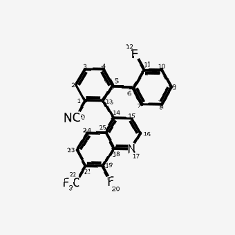 N#Cc1cccc(-c2ccccc2F)c1-c1ccnc2c(F)c(C(F)(F)F)ccc12